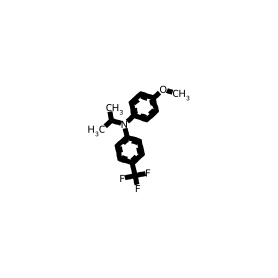 COc1ccc(N(c2ccc(C(F)(F)F)cc2)C(C)C)cc1